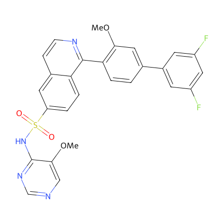 COc1cc(-c2cc(F)cc(F)c2)ccc1-c1nccc2cc(S(=O)(=O)Nc3ncncc3OC)ccc12